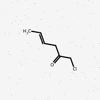 CC=CCC(=O)CCl